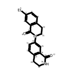 CCc1ccc2c(c1)C(=O)N(c1ccc3c(c1)C(=O)NCC3)CC2